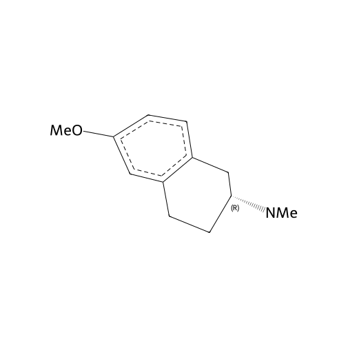 CN[C@@H]1CCc2cc(OC)ccc2C1